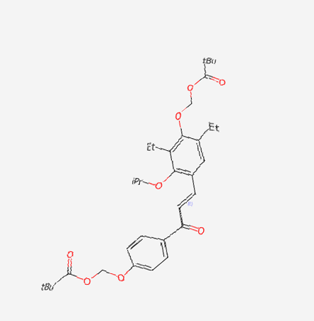 CCc1cc(/C=C/C(=O)c2ccc(OCOC(=O)C(C)(C)C)cc2)c(OC(C)C)c(CC)c1OCOC(=O)C(C)(C)C